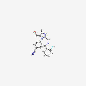 Cc1nc2n(c1C=O)-c1ccc(C#N)cc1C(c1ccccc1F)=NC2